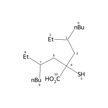 CCCCC(CC)CC(S)(CC(CC)CCCC)C(=O)O